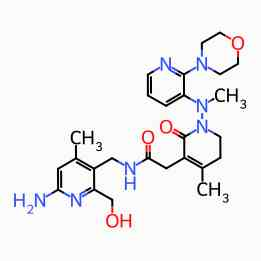 CC1=C(CC(=O)NCc2c(C)cc(N)nc2CO)C(=O)N(N(C)c2cccnc2N2CCOCC2)CC1